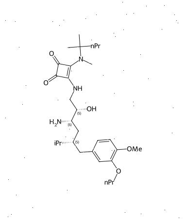 CCCOc1cc(C[C@@H](C[C@H](N)[C@@H](O)CNc2c(N(C)C(C)(C)CCC)c(=O)c2=O)C(C)C)ccc1OC